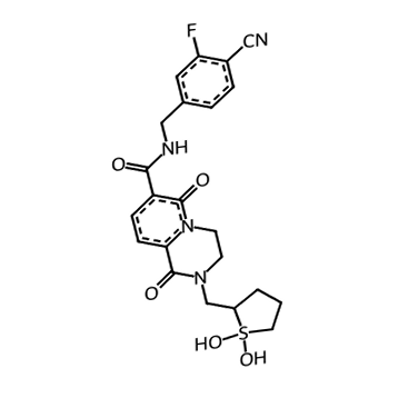 N#Cc1ccc(CNC(=O)c2ccc3n(c2=O)CCN(CC2CCCS2(O)O)C3=O)cc1F